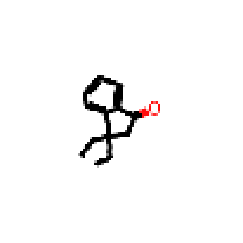 CCC1(CC)CC(=O)c2ccccc21